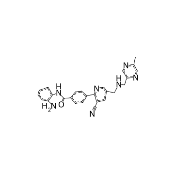 Cc1cnc(CNCc2cnc(-c3ccc(C(=O)Nc4ccccc4N)cc3)c(C#N)c2)cn1